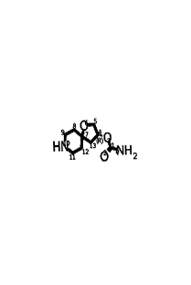 NC(=O)O[C@H]1COC2(CCNCC2)C1